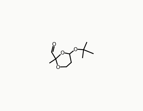 CC(C)(C)OC1CCOC(C)(C=O)O1